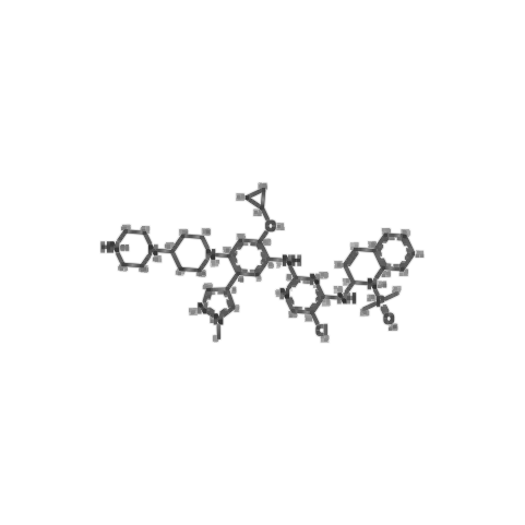 Cn1cc(-c2cc(Nc3ncc(Cl)c(NC4C=Cc5ccccc5N4P(C)(C)=O)n3)c(OC3CC3)cc2N2CCC(N3CCNCC3)CC2)cn1